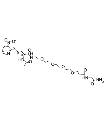 CC(=O)N[C@@H](CSSc1ncccc1[N+](=O)[O-])C(=O)NCCOCCOCCOCCOCCC(=O)NCC(N)=O